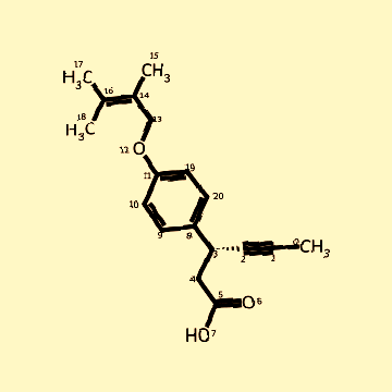 CC#C[C@H](CC(=O)O)c1ccc(OCC(C)=C(C)C)cc1